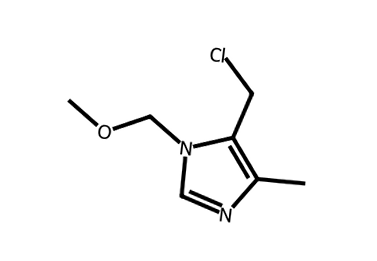 COCn1cnc(C)c1CCl